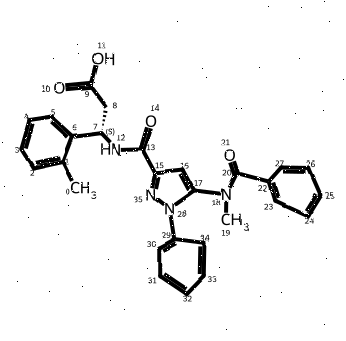 Cc1ccccc1[C@H](CC(=O)O)NC(=O)c1cc(N(C)C(=O)c2ccccc2)n(-c2ccccc2)n1